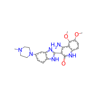 COc1ccc2[nH]c(=O)c(-c3nc4cc(N5CCN(C)CC5)ccc4[nH]3)c(N)c2c1OC